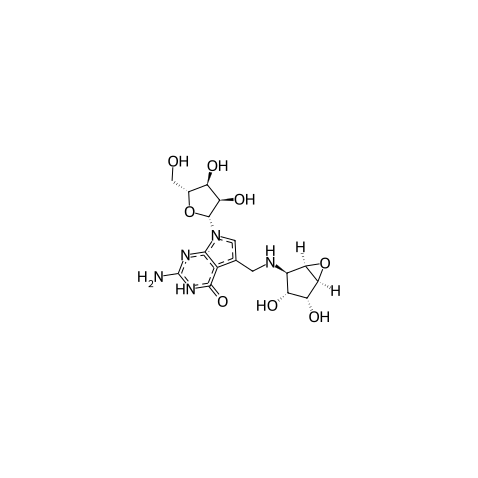 Nc1nc2c(c(CN[C@@H]3[C@@H](O)[C@@H](O)[C@@H]4O[C@H]34)cn2[C@@H]2O[C@H](CO)[C@@H](O)[C@H]2O)c(=O)[nH]1